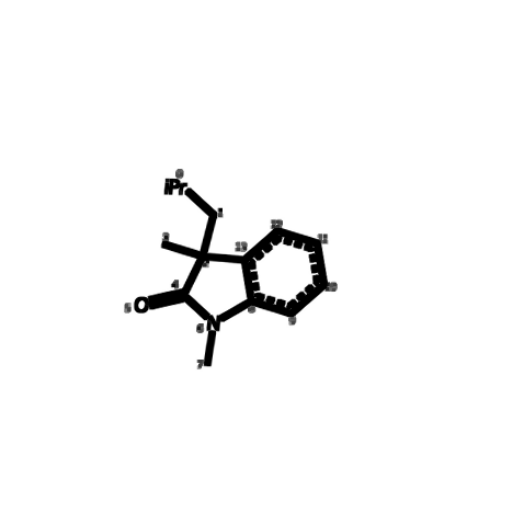 CC(C)CC1(C)C(=O)N(C)c2ccccc21